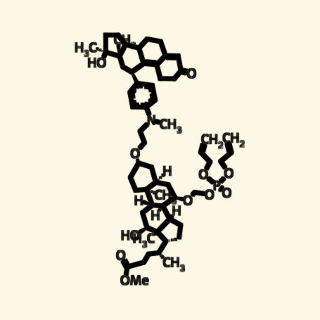 C=CCOP(=O)(OCC=C)OCO[C@@H]1C[C@@H]2C[C@@H](OCCN(C)c3ccc([C@H]4C[C@@]5(C)C(CC[C@]5(C)O)C5CCC6=CC(=O)CCC6=C54)cc3)CC[C@]2(C)[C@H]2C[C@H](O)[C@]3(C)[C@@H]([C@H](C)CCC(=O)OC)CC[C@H]3[C@H]12